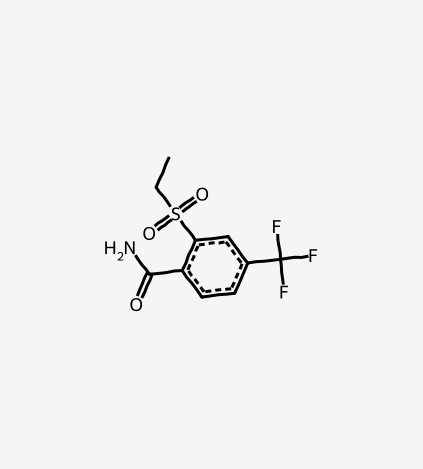 CCS(=O)(=O)c1cc(C(F)(F)F)ccc1C(N)=O